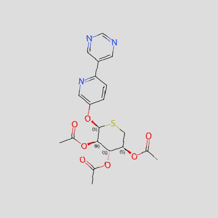 CC(=O)O[C@@H]1[C@@H](OC(C)=O)[C@@H](Oc2ccc(-c3cncnc3)nc2)SC[C@H]1OC(C)=O